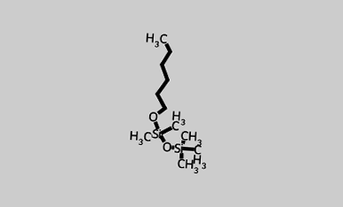 CCCCCCO[Si](C)(C)O[Si](C)(C)C